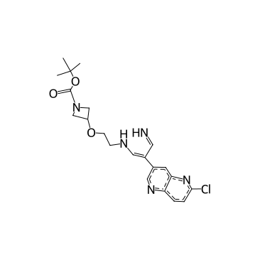 CC(C)(C)OC(=O)N1CC(OCCN/C=C(\C=N)c2cnc3ccc(Cl)nc3c2)C1